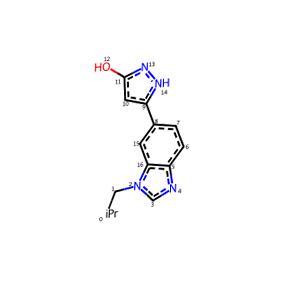 CC(C)Cn1cnc2ccc(-c3cc(O)n[nH]3)cc21